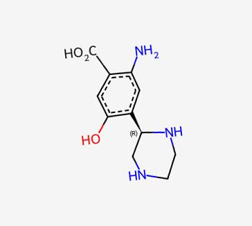 Nc1cc([C@@H]2CNCCN2)c(O)cc1C(=O)O